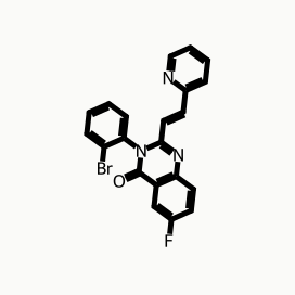 O=c1c2cc(F)ccc2nc(C=Cc2ccccn2)n1-c1ccccc1Br